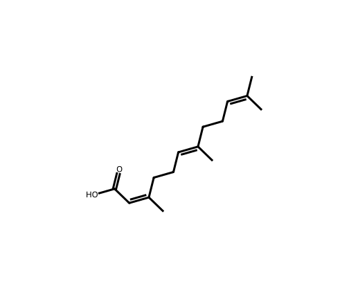 CC(C)=CCC/C(C)=C/CC/C(C)=C\C(=O)O